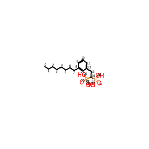 CCCCCCCCc1cccc(CC(P(=O)(O)O)P(=O)(O)O)c1